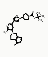 CC(C)(C)OC(=O)N1CCC(n2cc(-c3cnc(N)c(N4CCc5c(F)cccc5C4)c3)cn2)CC1